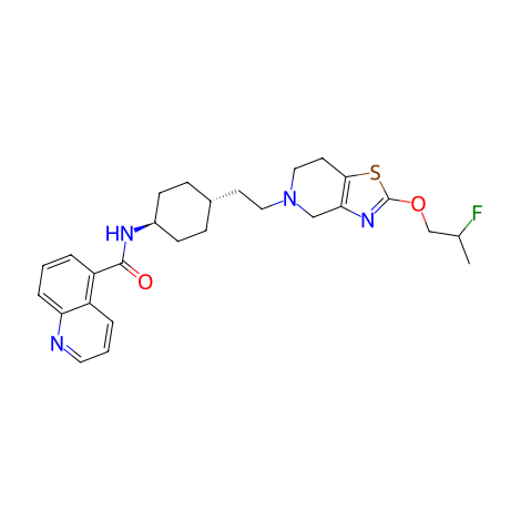 CC(F)COc1nc2c(s1)CCN(CC[C@H]1CC[C@H](NC(=O)c3cccc4ncccc34)CC1)C2